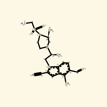 CCS(=O)(=O)N1CCN([C@@H](C)Cn2c(C#N)cc3c(C)c(C=O)ccc32)C[C@@H]1C